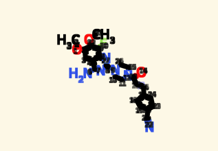 COc1cc2c(N)nc(N3CCN(C(=O)/C=C/c4ccc(C#N)cc4)CC3)nc2c(F)c1OC